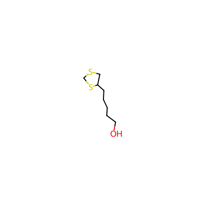 OCCCCCC1CSCS1